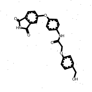 O=C(COc1ccc(CO)cc1)Nc1ccc(Oc2ccc3c(c2)C(=O)NC3=O)cc1